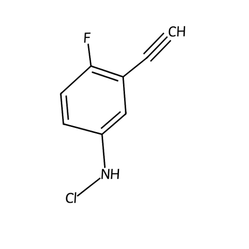 C#Cc1cc(NCl)ccc1F